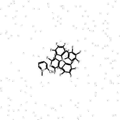 C[n+]1ccccc1C#N.Fc1nc(F)c(F)c([B-](c2c(F)c(F)c(F)c(F)c2F)(c2c(F)c(F)c(F)c(F)c2F)c2c(F)c(F)c(F)c(F)c2F)c1F